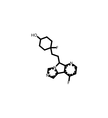 OC1CCC(F)(CCC2c3nccc(F)c3-c3cncn32)CC1